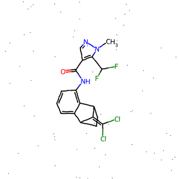 Cn1ncc(C(=O)Nc2cccc3c2C2CCC3C2=C(Cl)Cl)c1C(F)F